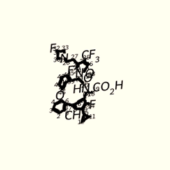 Cc1cccc2c1-c1cc(C3CC3)c(F)c(c1)[C@H](CC(=O)O)NC(=O)[C@@H](n1cc(CCN3CC(F)C3)c(C(F)(F)F)cc1=O)c1cc(ccc1F)O2